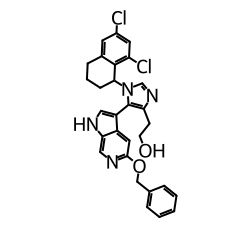 OCCc1ncn(C2CCCc3cc(Cl)cc(Cl)c32)c1-c1c[nH]c2cnc(OCc3ccccc3)cc12